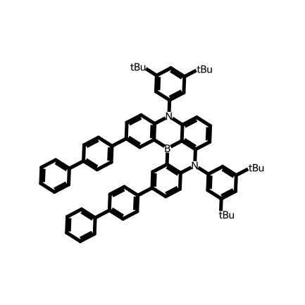 CC(C)(C)c1cc(N2c3ccc(-c4ccc(-c5ccccc5)cc4)cc3B3c4cc(-c5ccc(-c6ccccc6)cc5)ccc4N(c4cc(C(C)(C)C)cc(C(C)(C)C)c4)c4cccc2c43)cc(C(C)(C)C)c1